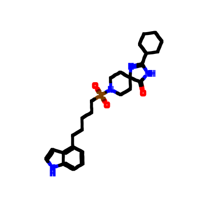 O=C1NC(C2CCCCC2)=NC12CCN(S(=O)(=O)CCCCCc1cccc3[nH]ccc13)CC2